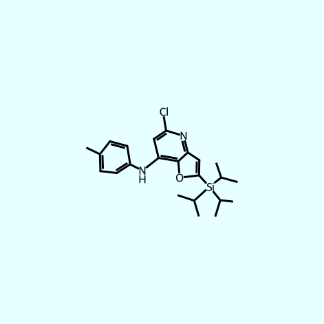 Cc1ccc(Nc2cc(Cl)nc3cc([Si](C(C)C)(C(C)C)C(C)C)oc23)cc1